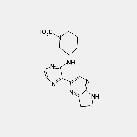 O=C(O)N1CCCC(Nc2nccnc2-c2cnc3[nH]ccc3n2)C1